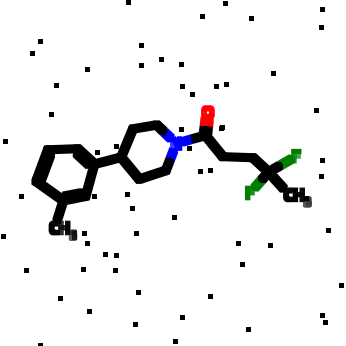 Cc1cccc(C2CCN(C(=O)CCC(C)(F)F)CC2)c1